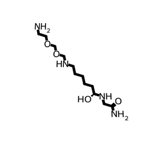 NCCOCOCNCCCCC[C@H](O)NCC(N)=O